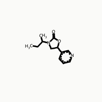 CCC(C)N1CC(c2cccnc2)OC1=O